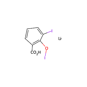 O=C(O)c1cccc(I)c1OI.[Li]